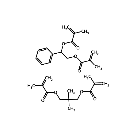 C=C(C)C(=O)OCC(C)(C)COC(=O)C(=C)C.C=C(C)C(=O)OCC(OC(=O)C(=C)C)c1ccccc1